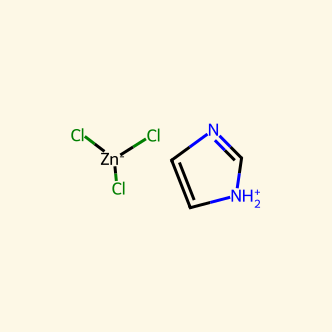 C1=C[NH2+]C=N1.[Cl][Zn-]([Cl])[Cl]